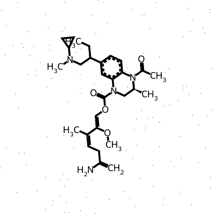 C=C(N)C/C=C(C)\C(=C\OC(=O)N1C[C@H](C)N(C(C)=O)c2ccc(C(CC)CN(C)C3CC3)cc21)OC